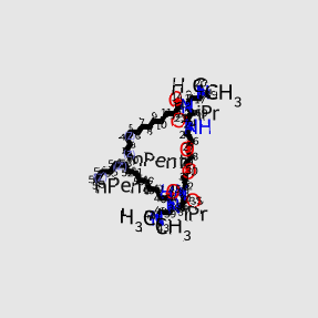 CCCCC/C=C\C/C=C\CCCCCCCC(=O)N(CCN(C)C)C(C(=O)NCCOCCOCCNC(=O)C(C(C)C)N(CCN(C)C)C(=O)CCCCCCC/C=C\C/C=C\CCCCC)C(C)C